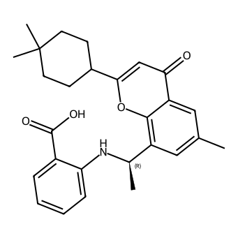 Cc1cc([C@@H](C)Nc2ccccc2C(=O)O)c2oc(C3CCC(C)(C)CC3)cc(=O)c2c1